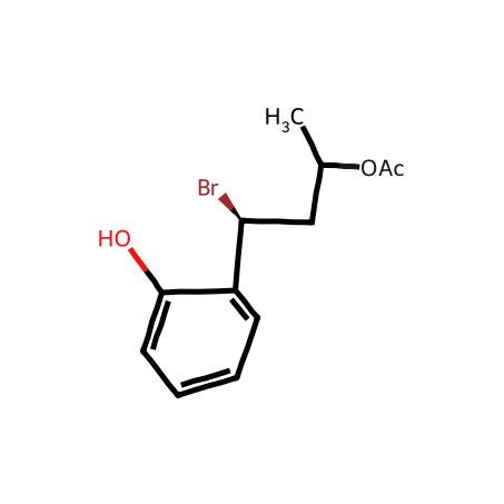 CC(=O)OC(C)C[C@H](Br)c1ccccc1O